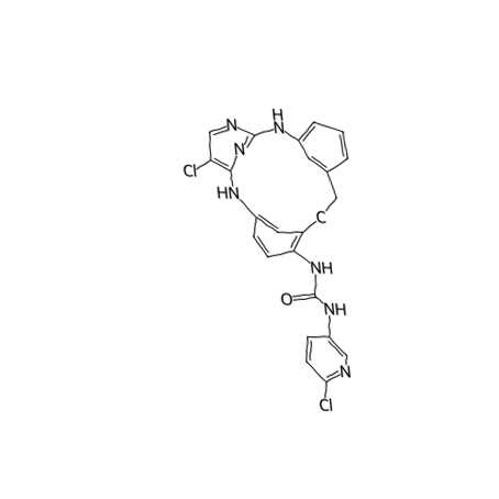 O=C(Nc1ccc(Cl)nc1)Nc1ccc2cc1CCc1cccc(c1)Nc1ncc(Cl)c(n1)N2